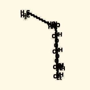 C=C(C)CCCCCCCCCCCCCCCCC(=O)NC(CCCCNC(=O)CCOCCOCCNC(=O)CCOCCOCCNC(=O)C(CCCNC(=O)CC)NC(=O)CI)C(N)=O